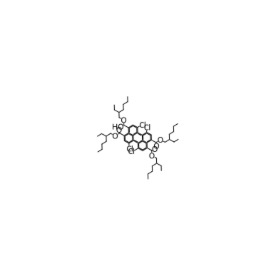 CCCCC(CC)COC(=O)c1cc(Cl)c2c3c(Cl)cc(C(=O)OCC(CC)CCCC)c4c(C(O)OCC(CC)CCCC)cc(Cl)c(c5c(Cl)cc(C(=O)OCC(CC)CCCC)c1c25)c43